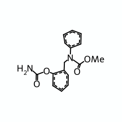 COC(=O)N(Cc1ccccc1OC(N)=O)c1ccccc1